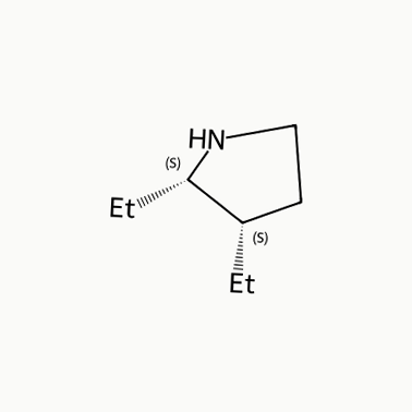 CC[C@H]1CCN[C@H]1CC